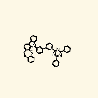 C1=Cc2ccc3c4ccccc4n(-c4cccc(-c5cccc(-c6nc(-c7ccccc7)nc(-c7ccccc7)n6)c5)c4)c3c2Sc2ccccc21